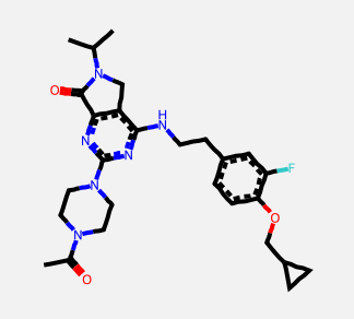 CC(=O)N1CCN(c2nc(NCCc3ccc(OCC4CC4)c(F)c3)c3c(n2)C(=O)N(C(C)C)C3)CC1